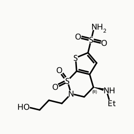 CCN[C@H]1CN(CCCO)S(=O)(=O)c2sc(S(N)(=O)=O)cc21